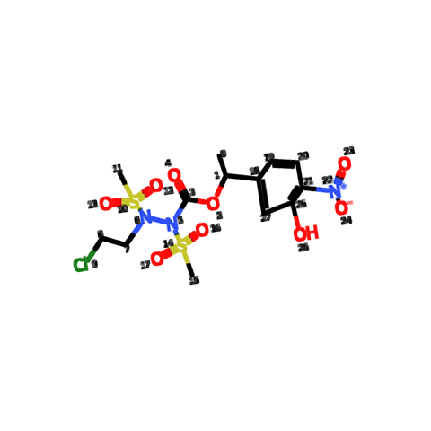 CC(OC(=O)N(N(CCCl)S(C)(=O)=O)S(C)(=O)=O)c1ccc([N+](=O)[O-])c(O)c1